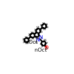 CCCCCCCCOc1ccc(-c2nc3c4cc(-c5ccccc5)ccc4c4ccc(-c5ccccc5)cc4c3n2CCCCCCCC)cc1